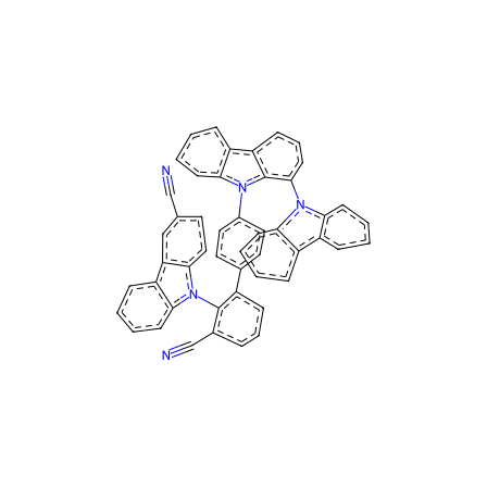 N#Cc1ccc2c(c1)c1ccccc1n2-c1c(C#N)cccc1-c1ccc(-n2c3ccccc3c3cccc(-n4c5ccccc5c5ccccc54)c32)cc1